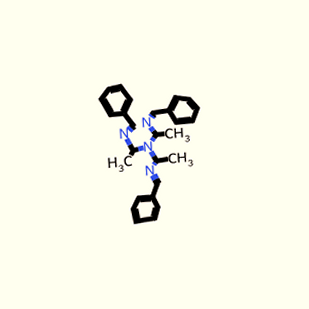 CC(N=Cc1ccccc1)N(C(C)N=Cc1ccccc1)C(C)N=Cc1ccccc1